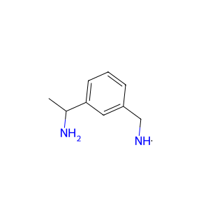 CC(N)c1cccc(C[NH])c1